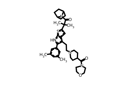 Cc1cc(C)cc(-c2[nH]c3sc(C(C)(C)C(=O)N4C5CCC4CC5)cc3c2CCN2CCC(C(=O)N3CCOCC3)CC2)c1